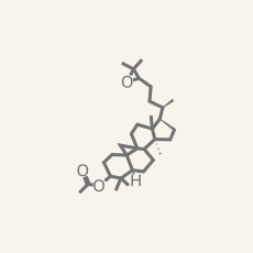 CC(=O)OC1CCC23CC24CCC2(C)[C@@H]([C@H](C)CCC5OC5(C)C)CC[C@@]2(C)C4CC[C@H]3C1(C)C